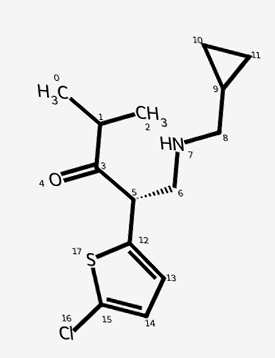 CC(C)C(=O)[C@H](CNCC1CC1)c1ccc(Cl)s1